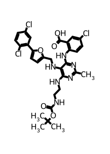 Cc1nc(NCCNC(=O)OC(C)(C)C)c(NCc2ccc(-c3cc(Cl)ccc3Cl)o2)c(Nc2ccc(Cl)cc2C(=O)O)n1